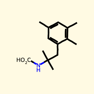 Cc1cc(C)c(C)c(CC(C)(C)NC(=O)O)c1